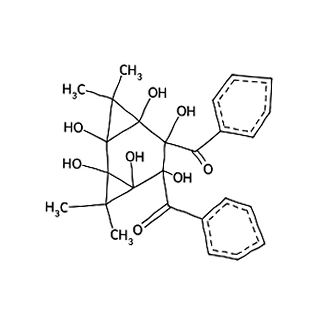 CC1(C)C2(O)C(O)(C(=O)c3ccccc3)C(O)(C(=O)c3ccccc3)C3(O)C(C)(C)C3(O)C12O